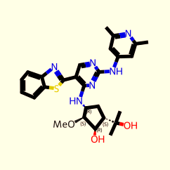 CO[C@@H]1[C@H](O)[C@@H](C(C)(C)O)C[C@H]1Nc1nc(Nc2cc(C)nc(C)c2)ncc1-c1nc2ccccc2s1